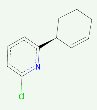 Clc1cccc([C@@H]2C=CCCC2)n1